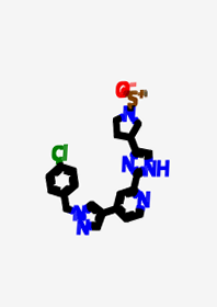 C[S+]([O-])N1CCC(c2c[nH]c(-c3cc(-c4cnn(Cc5ccc(Cl)cc5)c4)ccn3)n2)C1